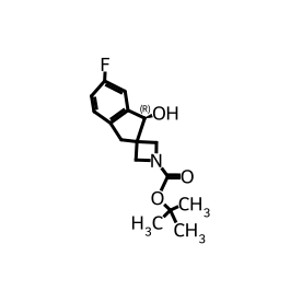 CC(C)(C)OC(=O)N1CC2(Cc3ccc(F)cc3[C@H]2O)C1